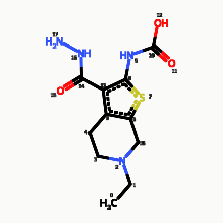 CCN1CCc2c(sc(NC(=O)O)c2C(=O)NN)C1